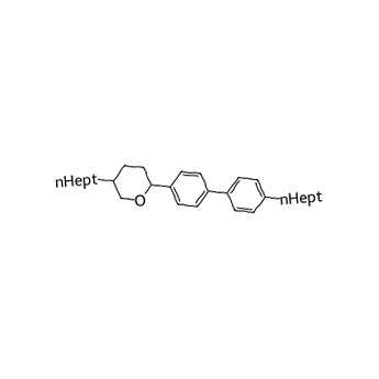 CCCCCCCc1ccc(-c2ccc(C3CCC(CCCCCCC)CO3)cc2)cc1